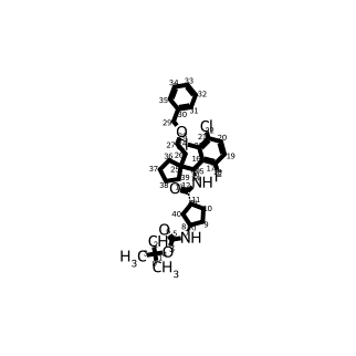 CC(C)(C)OC(=O)N[C@@H]1CC[C@@H](C(=O)N[C@H](c2c(F)ccc(Cl)c2Cl)C2(CCOCc3ccccc3)CCCC2)C1